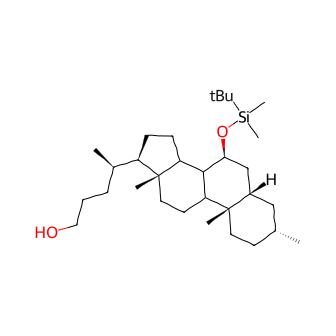 C[C@@H]1CC[C@]2(C)C3CC[C@@]4(C)C(CC[C@@H]4[C@H](C)CCCO)C3[C@@H](O[Si](C)(C)C(C)(C)C)C[C@@H]2C1